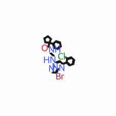 O=C(NCCNc1cc(-c2ccccc2Cl)nc2c(Br)cnn12)C1(c2ccccc2)CCCC1